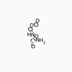 COCC(C)/C=C\C(C(=O)NCc1cccc(Oc2cccc(OC)c2)c1)=C(/C)N